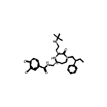 CCC(CN1CC[C@@H](CNC(=O)c2ccc(Cl)c(Cl)c2)N[C@@H](CCNC(C)(C)C)C1=O)c1ccccc1